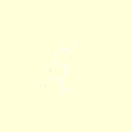 CCCCCc1cc2nc(Br)ccc2nc1N